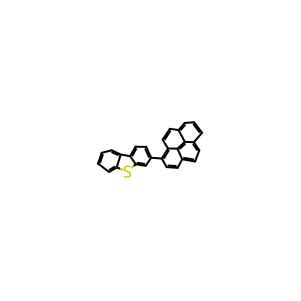 c1cc2ccc3ccc(-c4ccc5c(c4)sc4ccccc45)c4ccc(c1)c2c34